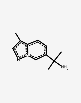 Cc1cnn2cc(C(C)(C)N)ccc12